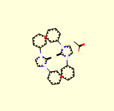 CC(=O)O.c1ccc(-n2ccn(-c3ccccc3)[c]2=[Pd]=[c]2n(-c3ccccc3)ccn2-c2ccccc2)cc1